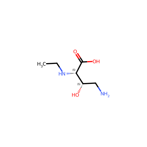 CCN[C@H](C(=O)O)[C@@H](O)CN